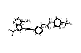 CC(C)n1cc(C#Cc2cccc(CC(=O)Nc3ccc(C(F)(F)F)cc3)c2)c2c(N)ncnc21